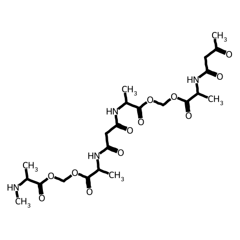 CNC(C)C(=O)OCOC(=O)C(C)NC(=O)CC(=O)NC(C)C(=O)OCOC(=O)C(C)NC(=O)CC(C)=O